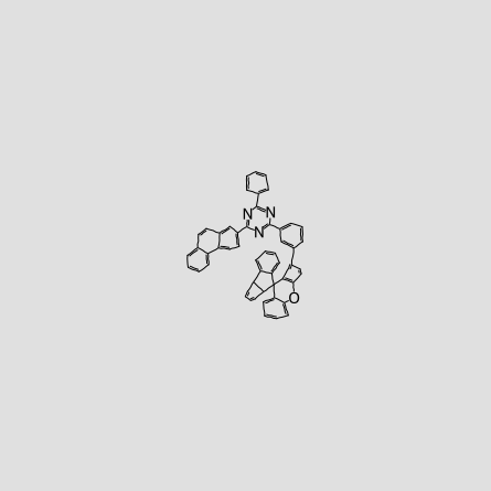 C1=CC2c3ccccc3C3(c4ccccc4Oc4ccc(-c5cccc(-c6nc(-c7ccccc7)nc(-c7ccc8c(ccc9ccccc98)c7)n6)c5)cc43)C2C=C1